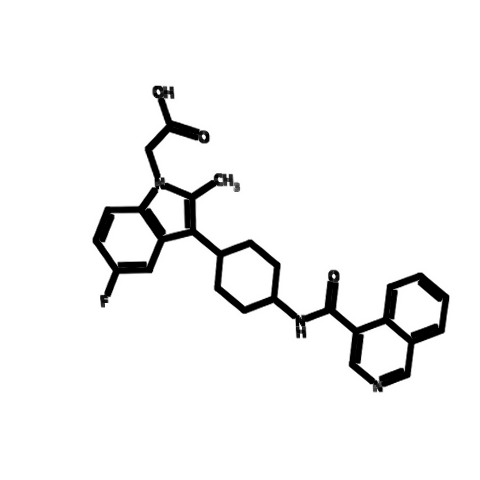 Cc1c(C2CCC(NC(=O)c3cncc4ccccc34)CC2)c2cc(F)ccc2n1CC(=O)O